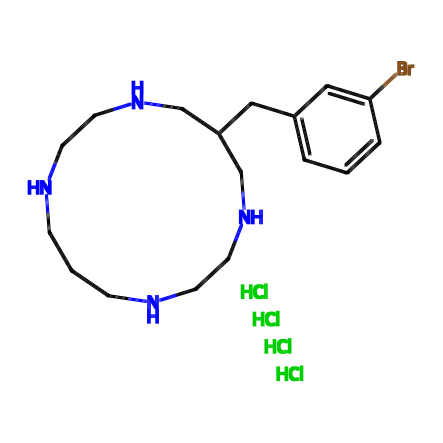 Brc1cccc(CC2CNCCNCCCNCCNC2)c1.Cl.Cl.Cl.Cl